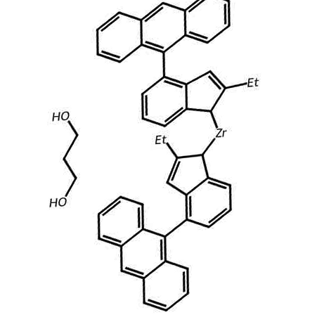 CCC1=Cc2c(-c3c4ccccc4cc4ccccc34)cccc2[CH]1[Zr][CH]1C(CC)=Cc2c(-c3c4ccccc4cc4ccccc34)cccc21.OCCCO